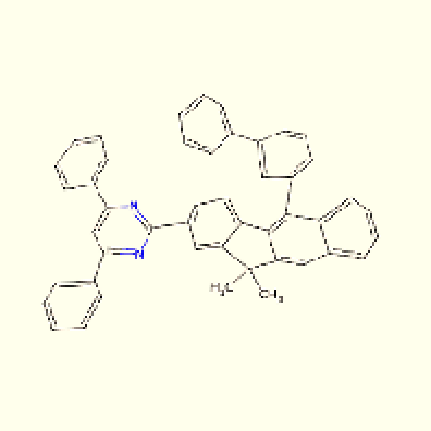 CC1(C)c2cc(-c3nc(-c4ccccc4)cc(-c4ccccc4)n3)ccc2-c2c1cc1ccccc1c2-c1cccc(-c2ccccc2)c1